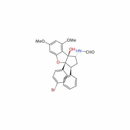 COc1cc(OC)c2c(c1)O[C@@]1(c3ccc(Br)cc3)[C@H](c3ccccc3)C[C@@H](NC=O)[C@@]21O